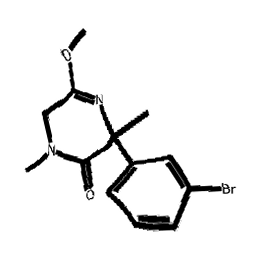 COC1=NC(C)(c2cccc(Br)c2)C(=O)N(C)C1